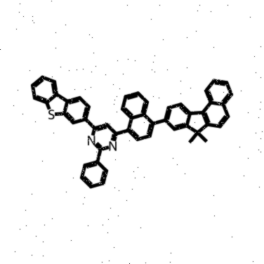 CC1(C)c2cc(-c3ccc(-c4cc(-c5ccc6c(c5)sc5ccccc56)nc(-c5ccccc5)n4)c4ccccc34)ccc2-c2c1ccc1ccccc21